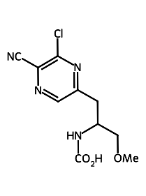 COCC(Cc1cnc(C#N)c(Cl)n1)NC(=O)O